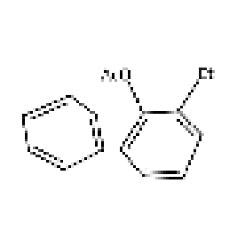 CCc1ccccc1OC(C)=O.c1ccccc1